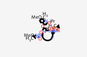 COc1ccc2c(O[C@@H]3C[C@H]4C(=O)N[C@]5(C(=O)NS(=O)(=O)C6(C)CC6)CC5/C=C\CCCCC[C@H](NC(=O)N5CC(C)(OC)C5)C(=O)N4C3)cc(OC(C)C)nc2c1C